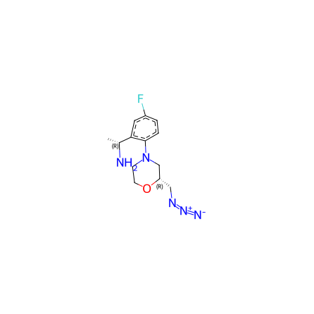 C[C@@H](N)c1cc(F)ccc1N1CCO[C@@H](CN=[N+]=[N-])C1